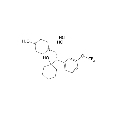 CN1CCN(C[C@H](c2cccc(OC(F)(F)F)c2)C2(O)CCCCC2)CC1.Cl.Cl